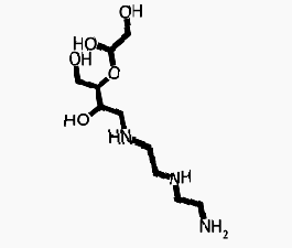 NCCNCCNCC(O)C(CO)OC(O)CO